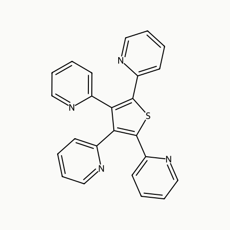 c1ccc(-c2sc(-c3ccccn3)c(-c3ccccn3)c2-c2ccccn2)nc1